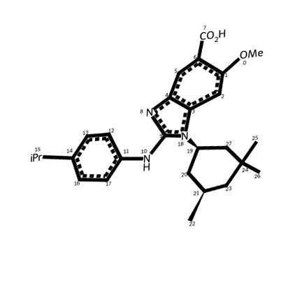 COc1cc2c(cc1C(=O)O)nc(Nc1ccc(C(C)C)cc1)n2[C@@H]1C[C@H](C)CC(C)(C)C1